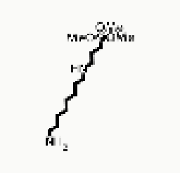 CO[Si](CCCNCCCCCCCCN)(OC)OC